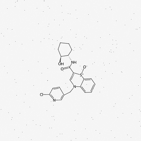 O=C(N[C@H]1CCCC[C@@H]1O)C1=CN(Cc2ccc(Cl)nc2)c2ccccc2[S+]1[O-]